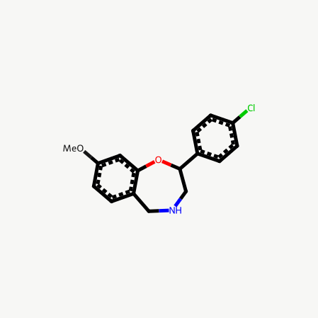 COc1ccc2c(c1)OC(c1ccc(Cl)cc1)CNC2